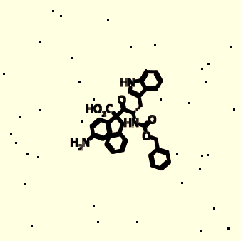 Nc1ccc(C(Cc2ccccc2)(C(=O)O)C(=O)[C@H](Cc2c[nH]c3ccccc23)NC(=O)OCc2ccccc2)cc1